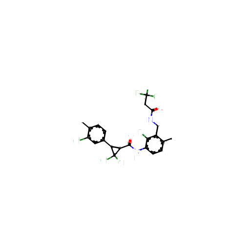 Cc1ccc(C2C(C(=O)Nc3ccc(C)c(CNC(=O)CC(F)(F)F)c3F)C2(Cl)Cl)cc1Cl